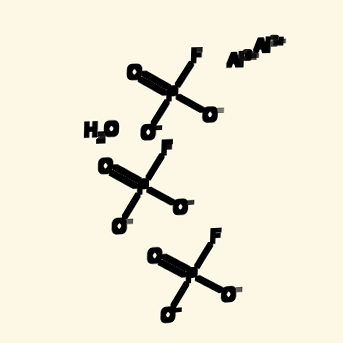 O.O=P([O-])([O-])F.O=P([O-])([O-])F.O=P([O-])([O-])F.[Al+3].[Al+3]